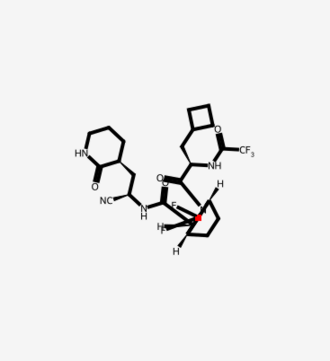 N#C[C@@H](C[C@@H]1CCCNC1=O)NC(=O)[C@H]1[C@H]2CC[C@H](CC2(F)F)N1C(=O)[C@@H](CC1CCC1)NC(=O)C(F)(F)F